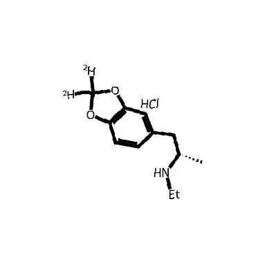 Cl.[2H]C1([2H])Oc2ccc(C[C@H](C)NCC)cc2O1